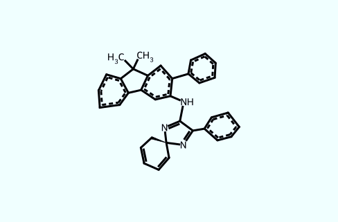 CC1(C)c2ccccc2-c2cc(NC3=N[C@@]4(C=CC=CC4)N=C3c3ccccc3)c(-c3ccccc3)cc21